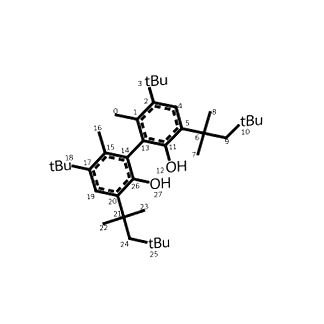 Cc1c(C(C)(C)C)cc(C(C)(C)CC(C)(C)C)c(O)c1-c1c(C)c(C(C)(C)C)cc(C(C)(C)CC(C)(C)C)c1O